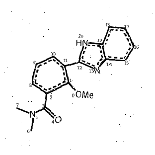 COc1c(C(=O)N(C)C)cccc1-c1nc2ccccc2[nH]1